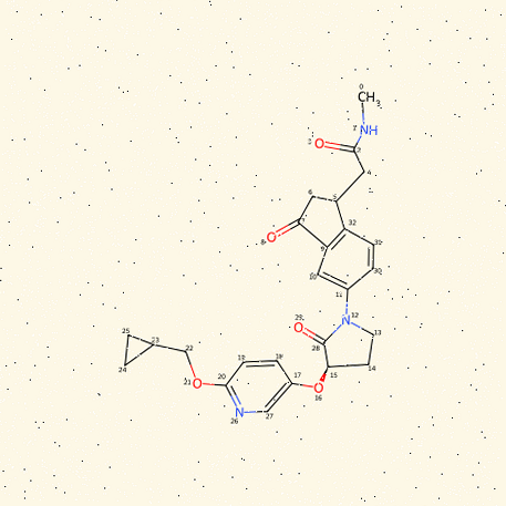 CNC(=O)CC1CC(=O)c2cc(N3CC[C@@H](Oc4ccc(OCC5CC5)nc4)C3=O)ccc21